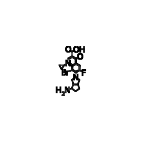 NC1CCC2=C1CN(c1c(F)cc3c(=O)c(C(=O)O)cn(C4CC4)c3c1Br)C2